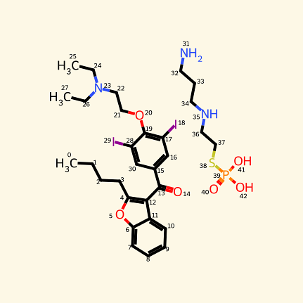 CCCCc1oc2ccccc2c1C(=O)c1cc(I)c(OCCN(CC)CC)c(I)c1.NCCCNCCSP(=O)(O)O